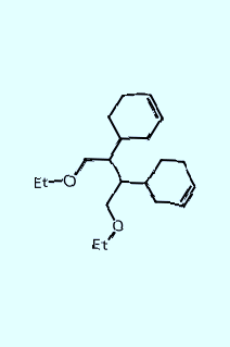 CCOCC(C1CC=CCC1)C(COCC)C1CC=CCC1